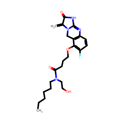 C=c1c(=O)[nH]c2n1Cc1c(ccc(F)c1OCCCC(=O)N(CCO)CCCCCC)N=2